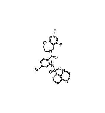 O=C(c1ccc(Br)cc1NS(=O)(=O)c1cccc2nccnc12)N1CCOc2cc(F)cc(F)c2C1